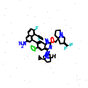 C#Cc1c(F)ccc2cc(N)cc(-c3c(Cl)cc4c(N5C[C@@H]6CC[C@](C7CC7)(C5)N6)nc(OC[C@@]56CCCN5CC(=C(F)F)C6)nc4c3F)c12